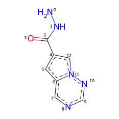 NNC(=O)c1cc2cncnn2c1